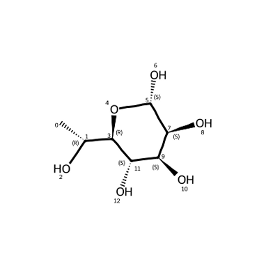 C[C@@H](O)[C@H]1O[C@H](O)[C@@H](O)[C@@H](O)[C@@H]1O